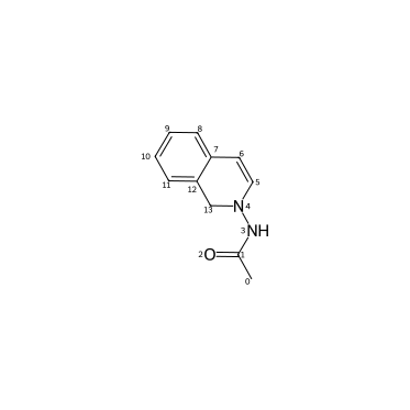 CC(=O)NN1C=Cc2ccccc2C1